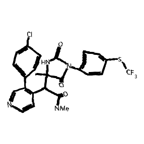 CNC(=O)C(c1ccncc1-c1ccc(Cl)cc1)C1(C)NC(=O)N(c2ccc(SC(F)(F)F)cc2)C1=O